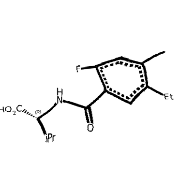 CCc1cc(C(=O)N[C@@H](C(=O)O)C(C)C)c(F)cc1C